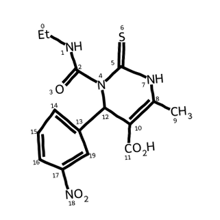 CCNC(=O)N1C(=S)NC(C)=C(C(=O)O)C1c1cccc([N+](=O)[O-])c1